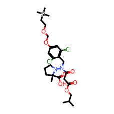 CC(C)COC(=O)CC(=O)N(Cc1c(Cl)cc(OCOCC[Si](C)(C)C)cc1Cl)N1CCCC1(C)C(=O)O